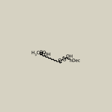 CCCCCCCCCCCC[C@@H](O)[C@H]1CC[C@@H]([C@@H]2CC[C@@H](CCCCCCCCC[C@@H](O)CC3=C[C@H](C)OC3=O)O2)O1